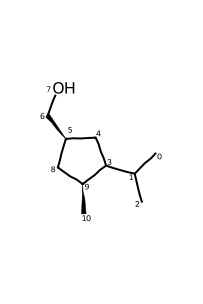 CC(C)C1C[C@H](CO)C[C@@H]1C